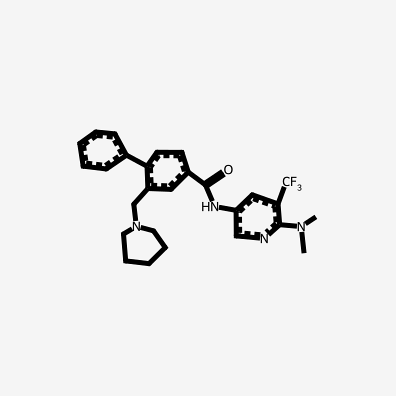 CN(C)c1ncc(NC(=O)c2ccc(-c3ccccc3)c(CN3CCCCC3)c2)cc1C(F)(F)F